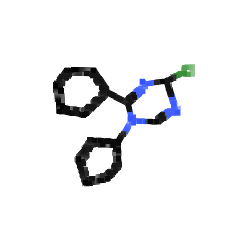 ClC1N=CN(c2ccccc2)C(c2ccccc2)=N1